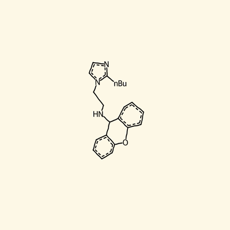 CCCCc1nccn1CCNC1c2ccccc2Oc2ccccc21